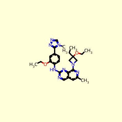 CCOc1cc(-c2nncn2C)ccc1Nc1ncc2cc(C)nc(N3CC(CC)(OCC)C3)c2n1